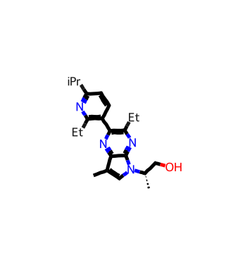 CCc1nc(C(C)C)ccc1-c1nc2c(C)cn([C@@H](C)CO)c2nc1CC